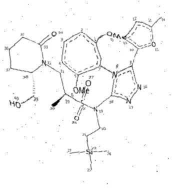 COc1cccc(OC)c1-n1c(-c2ccc(C)o2)nnc1N(CC[Si](C)(C)C)S(=O)(=O)[C@@H](C)CN1C(=O)CCC[C@H]1CO